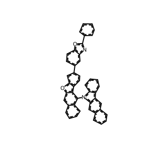 c1ccc(-c2nc3cc(-c4ccc5c(c4)oc4cc6ccccc6c(-n6c7ccccc7c7cc8ccccc8cc76)c45)ccc3o2)cc1